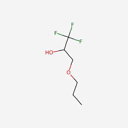 CCCOCC(O)C(F)(F)F